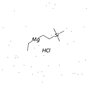 C[CH2][Mg][CH2]C[Si](C)(C)C.Cl